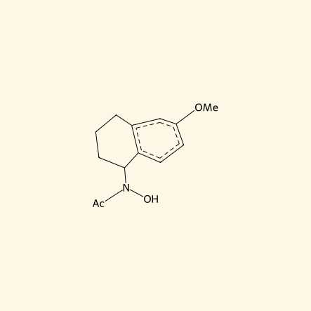 COc1ccc2c(c1)CCCC2N(O)C(C)=O